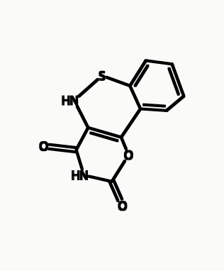 O=c1[nH]c(=O)c2c(o1)-c1ccccc1SN2